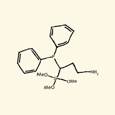 CO[Si](OC)(OC)C(CCN)P(c1ccccc1)c1ccccc1